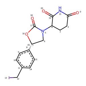 O=C1CCC(N2C[C@H](c3ccc(CI)cc3)OC2=O)C(=O)N1